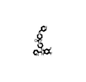 O=C(N1CCC(n2c(-c3ccccn3)nc3cc(F)c(F)cc32)CC1)C1(F)CCN(Cc2ccncc2)CC1